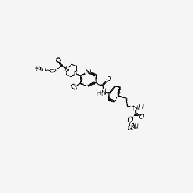 CC(C)(C)OC(=O)NCCc1ccc(NC(=O)c2cnc(N3CCN(C(=O)OC(C)(C)C)CC3)c(Cl)c2)cc1